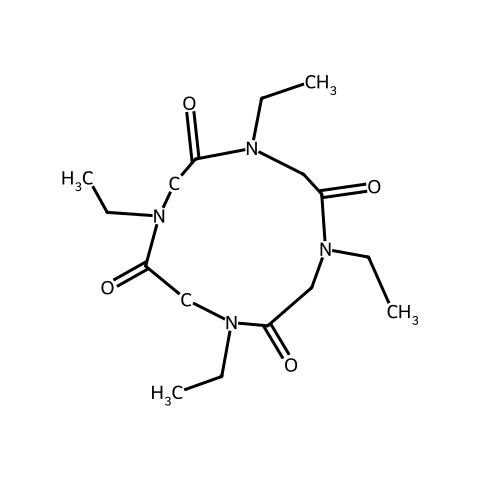 CCN1CC(=O)N(CC)CC(=O)N(CC)CC(=O)N(CC)CC1=O